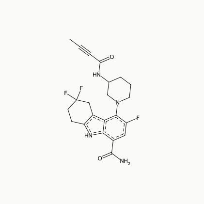 CC#CC(=O)NC1CCCN(c2c(F)cc(C(N)=O)c3[nH]c4c(c23)CC(F)(F)CC4)C1